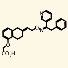 O=C(O)COc1cccc2c1CCC(=CCON=C(Cc1ccccc1)c1cccnc1)C2